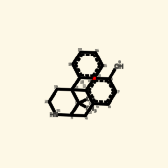 CC1(C)C2Cc3ccc(O)cc3C1(c1ccccc1)CCN2